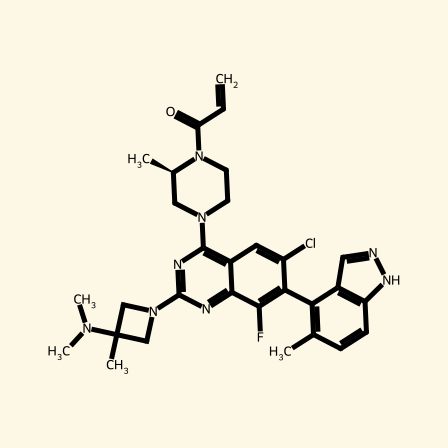 C=CC(=O)N1CCN(c2nc(N3CC(C)(N(C)C)C3)nc3c(F)c(-c4c(C)ccc5[nH]ncc45)c(Cl)cc23)C[C@H]1C